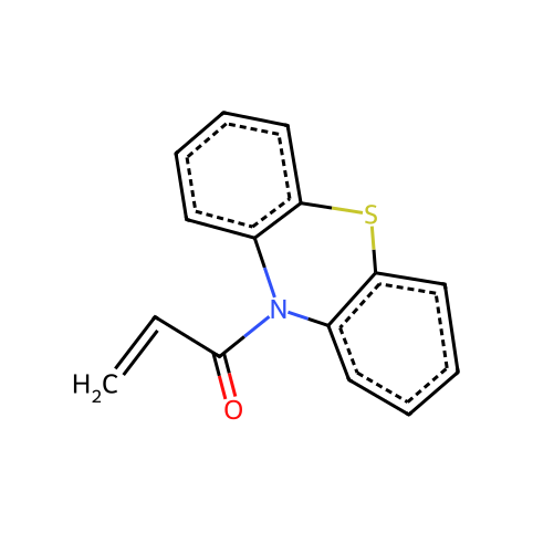 C=CC(=O)N1c2ccccc2Sc2ccccc21